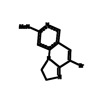 CNc1cc2c(cn1)C=C(Br)C1=NCCN12